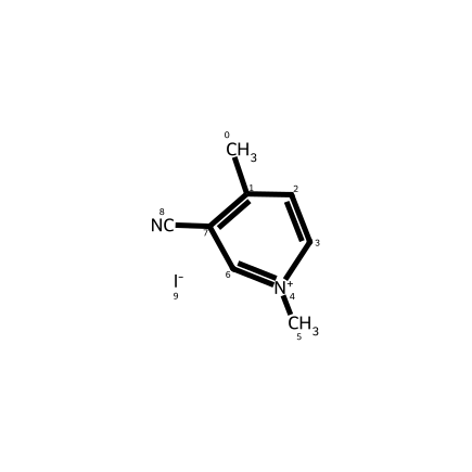 Cc1cc[n+](C)cc1C#N.[I-]